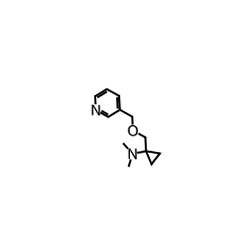 CN(C)C1(COCc2cccnc2)CC1